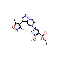 CCOC(=O)c1cn(-c2ccn3ncc(-c4c(C)noc4C)c3c2)nc1OC